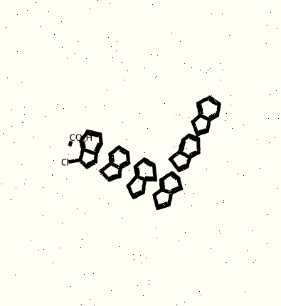 C1=Cc2ccccc2C1.C1=Cc2ccccc2C1.C1=Cc2ccccc2C1.C1=Cc2ccccc2C1.C1=Cc2ccccc2C1.CC(=O)O.ClC1C=Cc2ccccc21